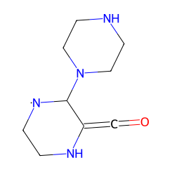 O=C=C1NCC[N]C1N1CCNCC1